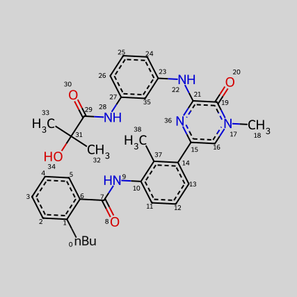 CCCCc1ccccc1C(=O)Nc1cccc(-c2cn(C)c(=O)c(Nc3cccc(NC(=O)C(C)(C)O)c3)n2)c1C